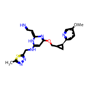 COc1ccc([C@H]2CC2COC2=N/C(=C/C=N)NC(NCc3nnc(C)s3)=C2)nc1